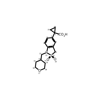 O=C(O)C1(c2ccc3c(c2)CS(=O)(=O)N3CC2CCOCC2)CC1